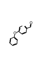 C=C(C=O)/C=C\C(=C/C)Oc1ccccc1